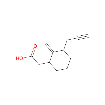 C#CCC1CCCC(CC(=O)O)C1=C